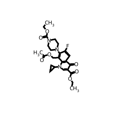 CCOC(=O)c1cn(C2CC2)c2c(COC(C)=O)c(N3CCN(C(=O)OCC)CC3)c(F)cc2c1=O